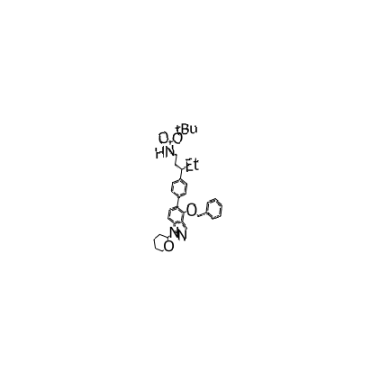 CCC(CCNC(=O)OC(C)(C)C)c1ccc(-c2ccc3c(cnn3C3CCCCO3)c2OCc2ccccc2)cc1